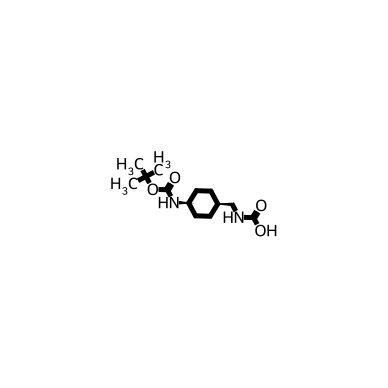 CC(C)(C)OC(=O)N[C@H]1CC[C@@H](CNC(=O)O)CC1